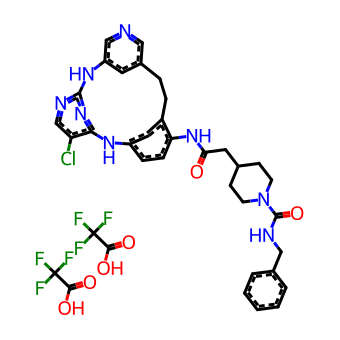 O=C(CC1CCN(C(=O)NCc2ccccc2)CC1)Nc1ccc2cc1CCc1cncc(c1)Nc1ncc(Cl)c(n1)N2.O=C(O)C(F)(F)F.O=C(O)C(F)(F)F